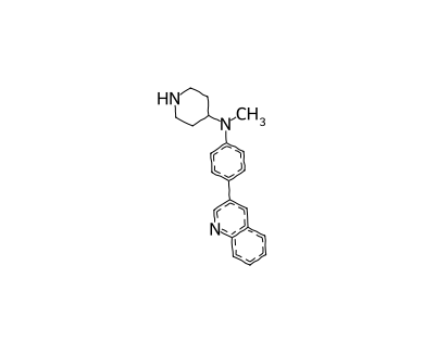 CN(c1ccc(-c2cnc3ccccc3c2)cc1)C1CCNCC1